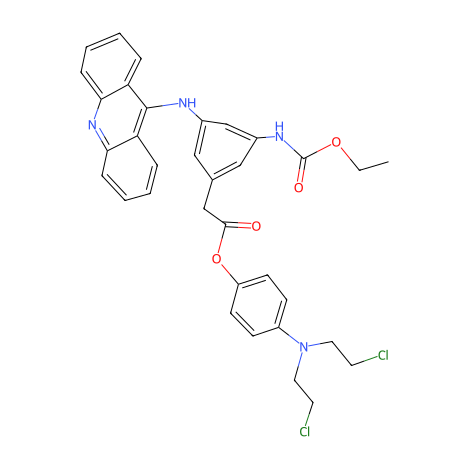 CCOC(=O)Nc1cc(CC(=O)Oc2ccc(N(CCCl)CCCl)cc2)cc(Nc2c3ccccc3nc3ccccc23)c1